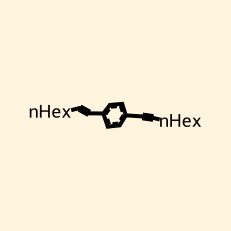 CCCCCCC#Cc1ccc(C#CCCCCCC)cc1